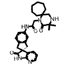 CC1(C)NCC2(CCCCCC2)N(CC(=O)Nc2ccc3c(c2)C[C@@]2(C3)C(=O)Nc3ncccc32)C1=O